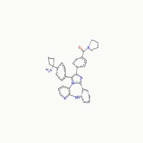 NC1(c2ccc(-c3c(-c4ccc(C(=O)N5CCCC5)cc4)nc4n3-c3cccnc3Nc3ccccc3-4)cc2)CCC1